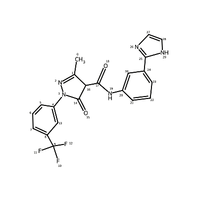 CC1=NN(c2cccc(C(F)(F)F)c2)C(=O)C1C(=O)Nc1cccc(-c2ncc[nH]2)c1